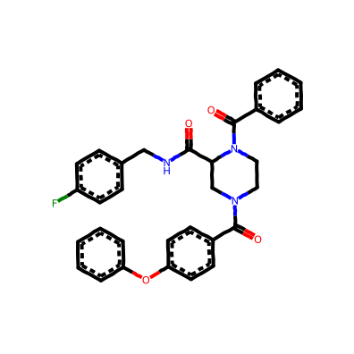 O=C(NCc1ccc(F)cc1)C1CN(C(=O)c2ccc(Oc3ccccc3)cc2)CCN1C(=O)c1ccccc1